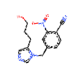 N#Cc1ccc(Cn2cncc2CCCO)cc1[N+](=O)[O-]